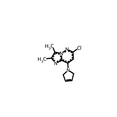 Cc1nc2c(N3CC=CC3)cc(Cl)nn2c1C